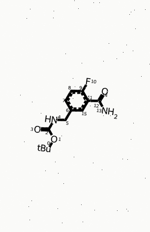 CC(C)(C)OC(=O)NCc1ccc(F)c(C(N)=O)c1